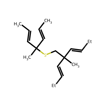 CC=CC(C)(C=CC)SCC(C)(C=CCC)C=CCC